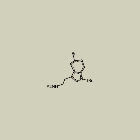 CC(=O)NCCc1cn(C(C)(C)C)c2ccc(Br)cc12